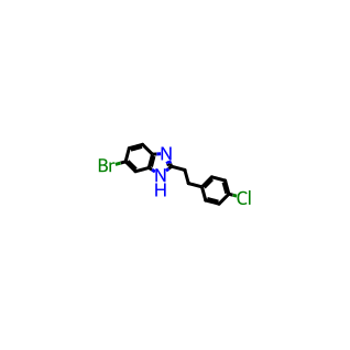 Clc1ccc(CCc2nc3ccc(Br)cc3[nH]2)cc1